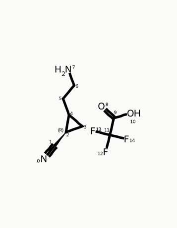 N#C[C@@H]1CC1CCN.O=C(O)C(F)(F)F